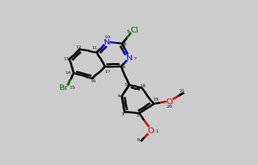 COc1ccc(-c2nc(Cl)nc3ccc(Br)cc23)cc1OC